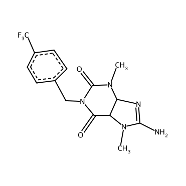 CN1C(=O)N(Cc2ccc(C(F)(F)F)cc2)C(=O)C2C1N=C(N)N2C